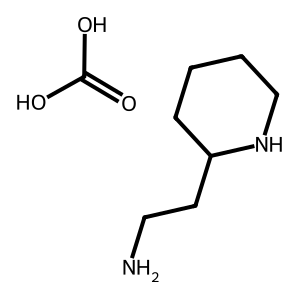 NCCC1CCCCN1.O=C(O)O